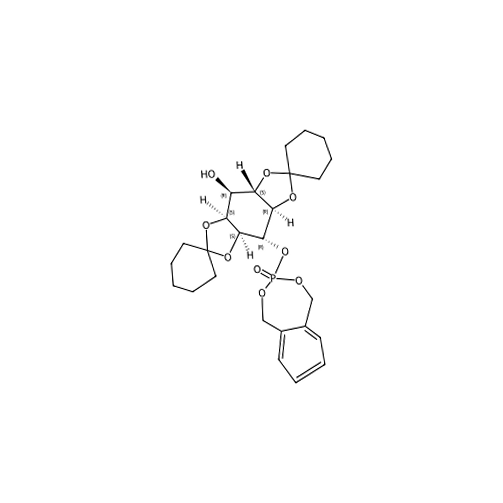 O=P1(O[C@@H]2[C@H]3OC4(CCCCC4)O[C@H]3[C@@H](O)[C@@H]3OC4(CCCCC4)O[C@@H]23)OCc2ccccc2CO1